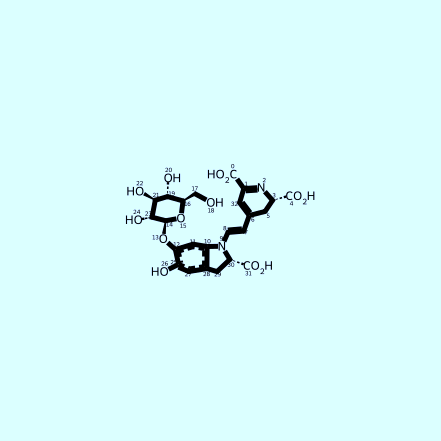 O=C(O)C1=N[C@H](C(=O)O)CC(/C=C/N2c3cc(O[C@@H]4O[C@H](CO)[C@@H](O)[C@H](O)[C@H]4O)c(O)cc3C[C@H]2C(=O)O)=C1